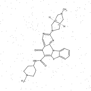 CN1CCC(NC(=O)c2c(=O)c3cnc(N4C[C@H]5CN(C)C[C@H]5C4)nc3n3c2sc2ccccc23)CC1